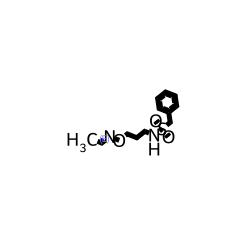 C/C=N/OCCCNS(=O)(=O)Cc1ccccc1